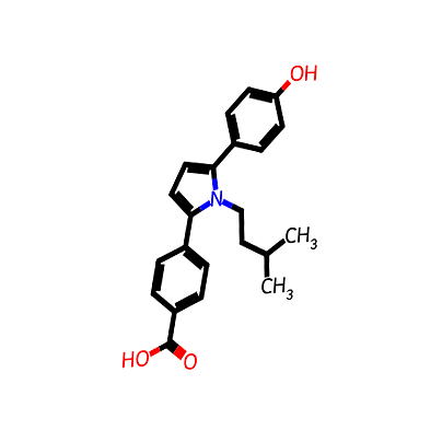 CC(C)CCn1c(-c2ccc(O)cc2)ccc1-c1ccc(C(=O)O)cc1